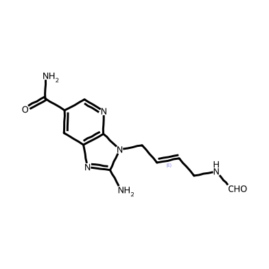 NC(=O)c1cnc2c(c1)nc(N)n2C/C=C/CNC=O